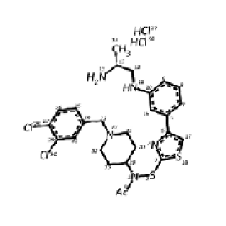 CC(=O)N(Sc1nc(-c2cccc(NC[C@H](C)N)c2)cs1)C1CCN(Cc2ccc(Cl)c(Cl)c2)CC1.Cl.Cl